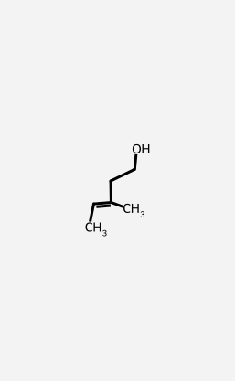 C/C=C(\C)CCO